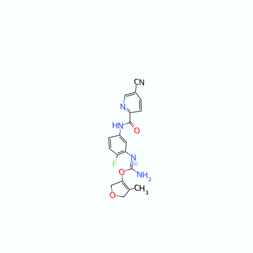 CC1=C(O/C(N)=N\c2cc(NC(=O)c3ccc(C#N)cn3)ccc2F)COC1